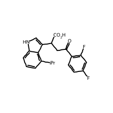 CC(C)c1cccc2[nH]cc(C(CC(=O)c3ccc(F)cc3F)C(=O)O)c12